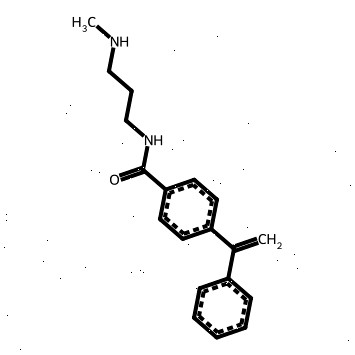 C=C(c1ccccc1)c1ccc(C(=O)NCCCNC)cc1